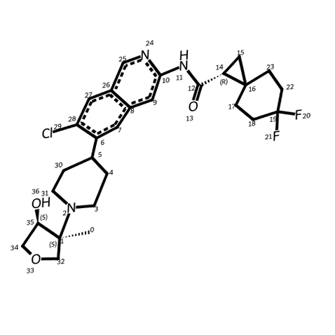 C[C@]1(N2CCC(c3cc4cc(NC(=O)[C@@H]5CC56CCC(F)(F)CC6)ncc4cc3Cl)CC2)COC[C@H]1O